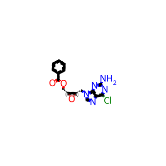 Nc1nc(Cl)c2ncn(C[C@@H]3O[C@@H]3COC(=O)c3ccccc3)c2n1